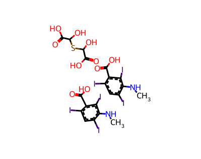 CNc1c(I)cc(I)c(C(=O)O)c1I.CNc1c(I)cc(I)c(C(=O)O)c1I.O=C(O)C(O)SC(O)C(=O)O